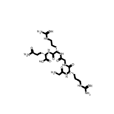 N=C(N)NCCC[C@H](NC(=O)CN)C(=O)NCC(=O)N[C@@H](CCCNC(=N)N)C(=O)N[C@@H](CCC(N)=O)C(=O)O